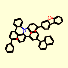 c1ccc(-c2ccc(-c3ccccc3N(c3ccc(-c4ccc5c(c4)oc4ccccc45)cc3)c3ccccc3-c3cccc(-c4cccc5ccccc45)c3)cc2)cc1